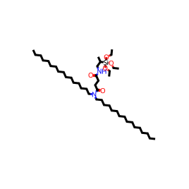 CCCCCCCCCCCCCCCCN(CCCCCCCCCCCCCCCC)C(=O)CCC(=O)NCC(C)[Si](OCC)(OCC)OCC